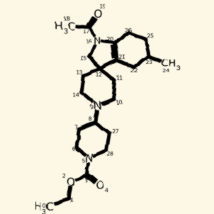 CCOC(=O)N1CCC(N2CCC3(CC2)CN(C(C)=O)C2=C3CC(C)CC2)CC1